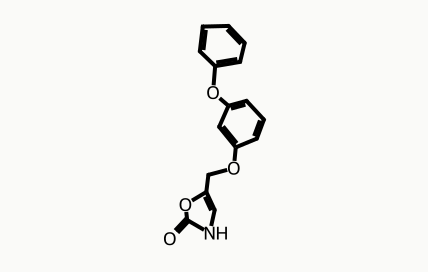 O=c1[nH]cc(COc2cccc(Oc3ccccc3)c2)o1